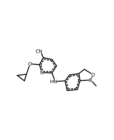 [C-]#[N+]c1ccc(Nc2ccc3c(c2)COB3C)nc1OC1CC1